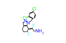 NC/C(F)=C1/c2c(cnn2Cc2ccc(Cl)cc2Cl)CCC1F